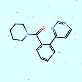 O=C(c1ccccc1-c1ccn[c]n1)N1CCCCC1